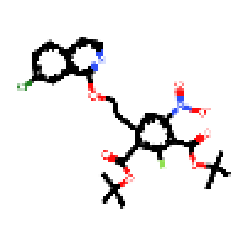 CC(C)(C)OC(=O)c1c(CCOc2nccc3ccc(Cl)cc23)cc([N+](=O)[O-])c(C(=O)OC(C)(C)C)c1F